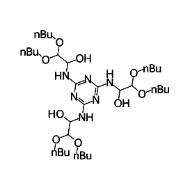 CCCCOC(OCCCC)C(O)Nc1nc(NC(O)C(OCCCC)OCCCC)nc(NC(O)C(OCCCC)OCCCC)n1